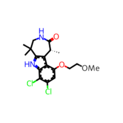 COCCOc1cc(Cl)c(Cl)c2[nH]c3c(c12)[C@@H](C)C(=O)NCC3(C)C